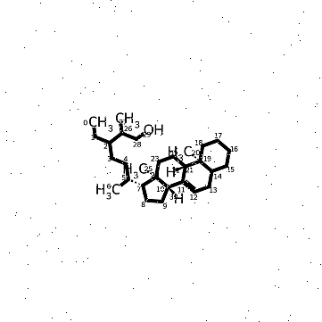 CCC(CCC(C)[C@H]1CC[C@H]2C3=CCC4CCCC[C@]4(C)[C@H]3CC[C@]12C)C(C)CO